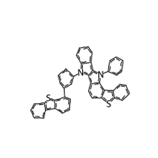 c1ccc(-n2c3c(ccc4sc5ccccc5c43)c3c2c2ccccc2n3-c2cccc(-c3cccc4c3sc3ccccc34)c2)cc1